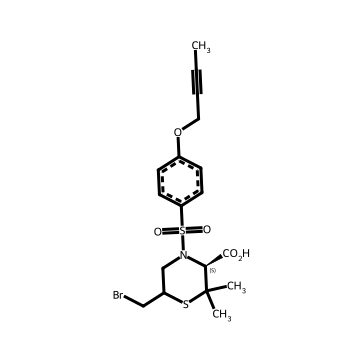 CC#CCOc1ccc(S(=O)(=O)N2CC(CBr)SC(C)(C)[C@@H]2C(=O)O)cc1